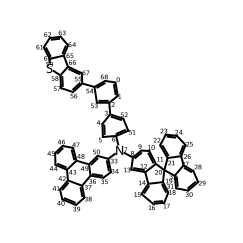 c1cc(-c2ccc(N(c3ccc4c(c3)-c3ccccc3C43c4ccccc4-c4ccccc43)c3ccc4c5ccccc5c5ccccc5c4c3)cc2)cc(-c2ccc3sc4ccccc4c3c2)c1